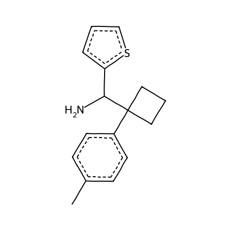 Cc1ccc(C2(C(N)c3cccs3)CCC2)cc1